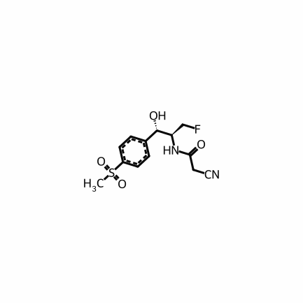 CS(=O)(=O)c1ccc([C@H](O)[C@@H](CF)NC(=O)CC#N)cc1